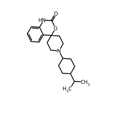 CC(C)C1CCC(N2CCC3(CC2)OC(=O)Nc2ccccc23)CC1